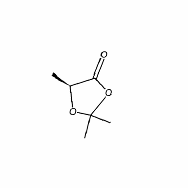 C[C@@H]1OC(C)(C)OC1=O